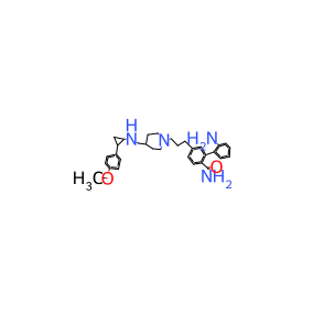 COc1ccc(C2CC2NCC2CCN(CCCc3ccc(C(N)=O)c(-c4ccccc4N)c3)CC2)cc1